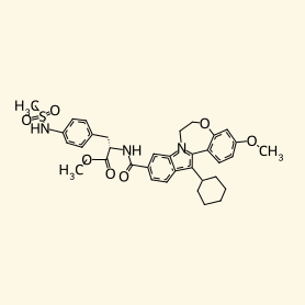 COC(=O)[C@H](Cc1ccc(NS(C)(=O)=O)cc1)NC(=O)c1ccc2c(C3CCCCC3)c3n(c2c1)CCOc1cc(OC)ccc1-3